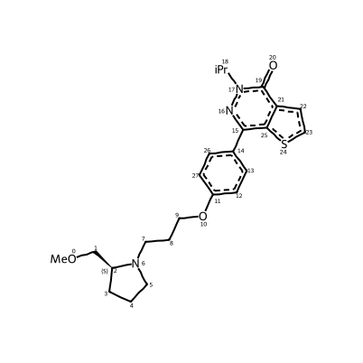 COC[C@@H]1CCCN1CCCOc1ccc(-c2nn(C(C)C)c(=O)c3ccsc23)cc1